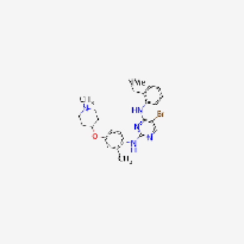 CNCc1ccccc1Nc1nc(Nc2ccc(OC3CCN(C)CC3)cc2C)ncc1Br